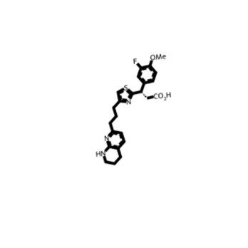 COc1ccc([C@H](CC(=O)O)c2nc(CCCc3ccc4c(n3)NCCC4)cs2)cc1F